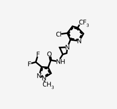 Cn1cc(C(=O)NC2CN(c3ncc(C(F)(F)F)cc3Cl)C2)c(C(F)F)n1